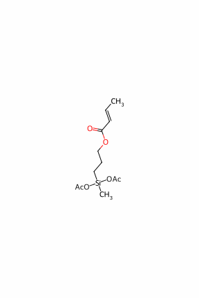 CC=CC(=O)OCCC[Si](C)(OC(C)=O)OC(C)=O